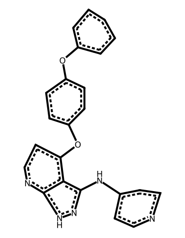 c1ccc(Oc2ccc(Oc3ccnc4[nH]nc(Nc5ccncc5)c34)cc2)cc1